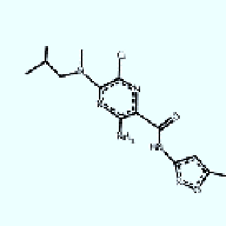 Cc1cc(NC(=O)c2nc(Cl)c(N(C)CC(C)C)nc2N)no1